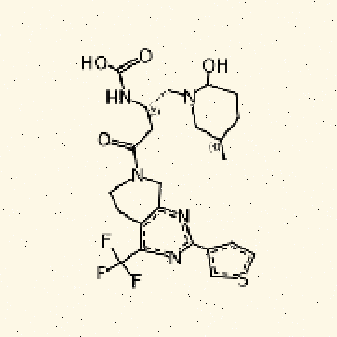 C[C@@H]1CCC(O)N(C[C@H](CC(=O)N2CCc3c(nc(-c4ccsc4)nc3C(F)(F)F)C2)NC(=O)O)C1